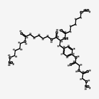 O=C(CCCCCO[N+](=O)[O-])NC(Cc1ccc(OC(=O)COC(=O)CO[N+](=O)[O-])cc1)C(=O)OCCCCCC(=O)OCCCCO[N+](=O)[O-]